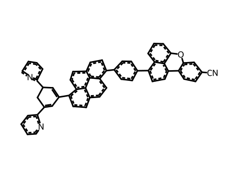 N#Cc1ccc2c(c1)Oc1cccc3c(-c4ccc(-c5ccc6ccc7c(C8=CC(c9ccccn9)CC(c9ccccn9)=C8)ccc8ccc5c6c87)cc4)ccc-2c13